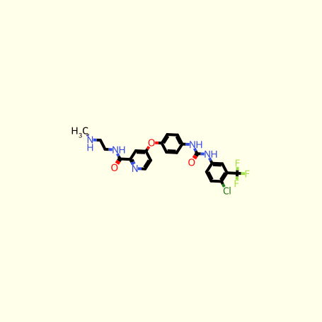 CNCCNC(=O)c1cc(Oc2ccc(NC(=O)Nc3ccc(Cl)c(C(F)(F)F)c3)cc2)ccn1